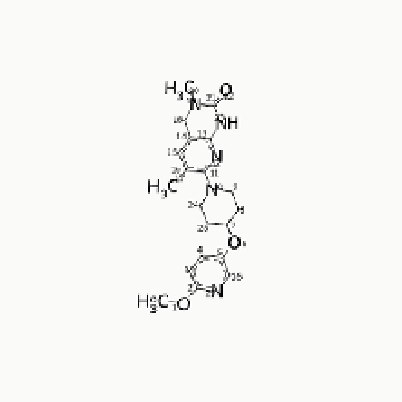 COc1ccc(OC2CCN(c3nc4c(cc3C)CN(C)C(=O)N4)CC2)cn1